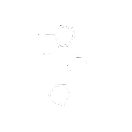 CCCCCc1cccc(C(CCc2ccccc2)OC(=O)O)c1CCCCC